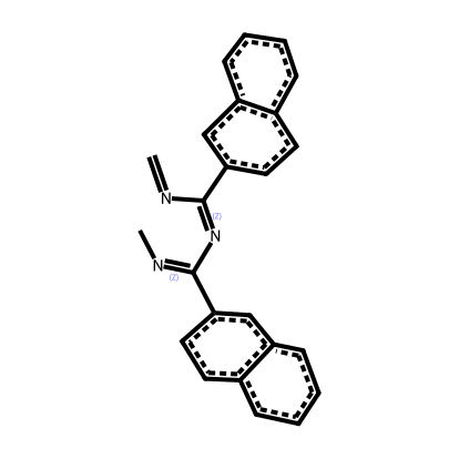 C=N/C(=N\C(=N/C)c1ccc2ccccc2c1)c1ccc2ccccc2c1